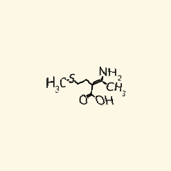 CSCCC(C(=O)O)=C(C)N